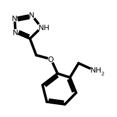 NCc1ccccc1OCc1nnn[nH]1